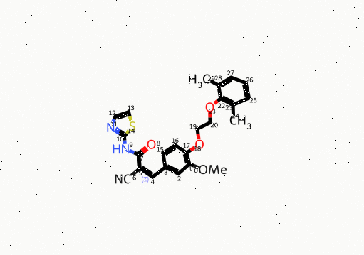 COc1cc(/C=C(/C#N)C(=O)Nc2nccs2)ccc1OCCOc1c(C)cccc1C